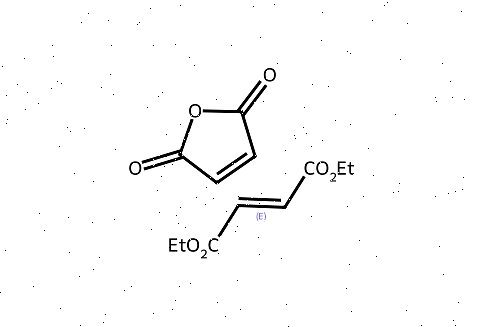 CCOC(=O)/C=C/C(=O)OCC.O=C1C=CC(=O)O1